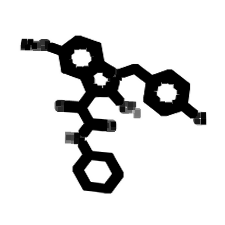 COc1ccc2c(c1)c(C(=O)C(=O)NC1CCCCC1)c(C(F)(F)F)n2Cc1ccc(Cl)cc1